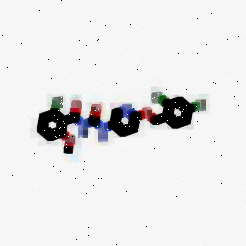 COc1cccc(Cl)c1C(=O)NC(=O)Nc1ccc(OCc2ccc(Cl)cc2Cl)nc1